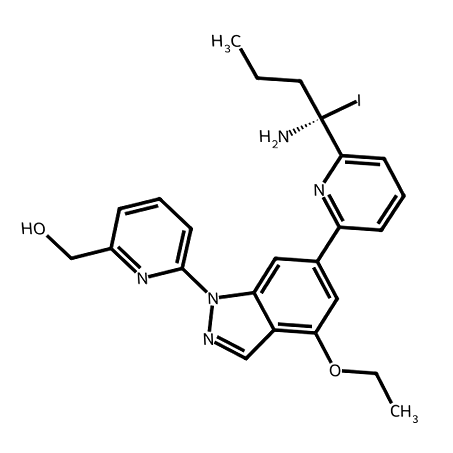 CCC[C@@](N)(I)c1cccc(-c2cc(OCC)c3cnn(-c4cccc(CO)n4)c3c2)n1